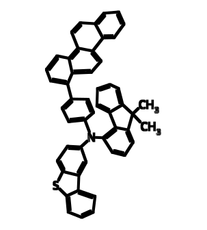 CC1(C)c2ccccc2-c2c(N(c3ccc(-c4cccc5c4ccc4c6ccccc6ccc54)cc3)c3ccc4sc5ccccc5c4c3)cccc21